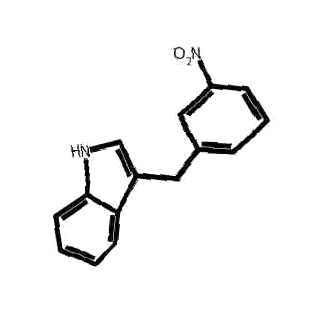 O=[N+]([O-])c1cccc(Cc2c[nH]c3ccccc23)c1